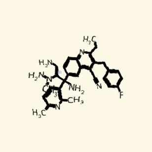 CCc1nc2ccc(C(N)(/C(=C/N)N(C)N)c3ccc(C)nc3C)cc2c(C#N)c1Cc1ccc(F)cc1